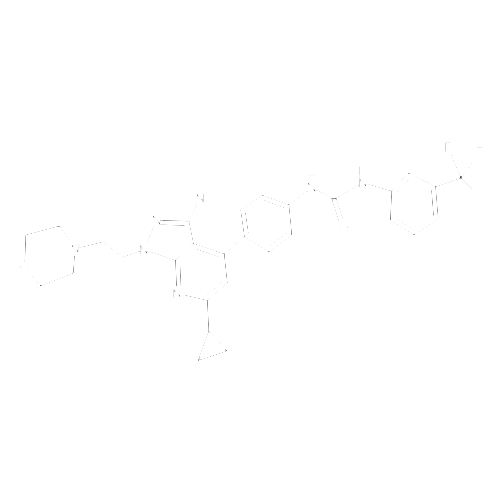 Nc1nn(CCN2CCOCC2)c2nc(C3CC3)cc(-c3ccc(NC(=O)Nc4cccc(C(F)(F)F)c4)cc3)c12